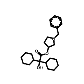 O=C(OC1CCN(Cc2ccccc2)C1)C(O)(C1CCCCC1)C1CCCCC1